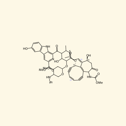 COC(=O)NC1C(=O)C[C@H](O)/C(=C/CS(C)=S)C2=C1C#C/C=C\C#C[C@@H]2OC1OC(C)C(C(=O)c2nc(C(=O)OC)cc3c2[nH]c2ccc(O)cc23)C(O)C1OC1CC(OC)C(NC(C)C)CO1